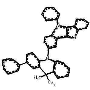 CC1(C)c2ccccc2N(c2ccc3c(c2)c2sc4ccccc4c2n3-c2ccccc2)c2ccc(-c3ccccc3)cc21